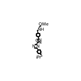 COCCNCc1ccc(-c2nnc(-c3cncc(-c4ccc(SC(C)C)cc4)n3)o2)cc1